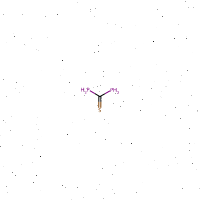 PC(P)=S